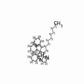 CCCCCCCCCCC(c1nccn1-c1ccccc1)C(C)(Cc1ccccc1)c1ccccc1